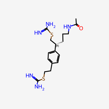 CC(=O)NCCC[C@@H](CSC(=N)N)c1ccc(CCSC(=N)N)cc1